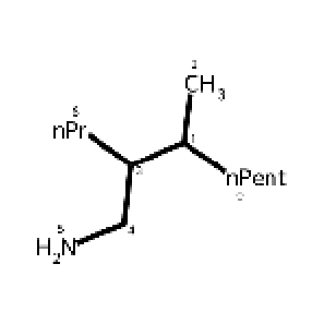 CCCCCC(C)C(CN)CCC